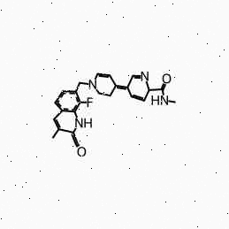 CNC(=O)C1C=CC(=C2C=CN(Cc3ccc4c(c3F)NC(=C=O)C(C)=C4)CC2)C=N1